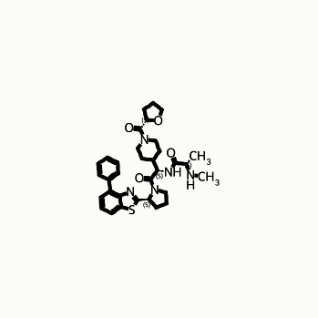 CN[C@@H](C)C(=O)N[C@H](C(=O)N1CCC[C@H]1c1nc2c(-c3ccccc3)cccc2s1)C1CCN(C(=O)[C@@H]2CCCO2)CC1